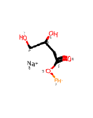 O=C(O[PH-])C(O)CO.[Na+]